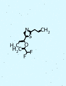 C=CCc1ncc(C(=CC)OC(=C)C(F)F)s1